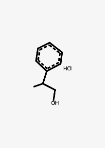 CC(CO)c1ccccc1.Cl